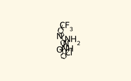 Cn1c(-c2ccc(NC(=O)c3ccccc3Cl)nc2N)cc2cc(C(F)(F)F)ccc21